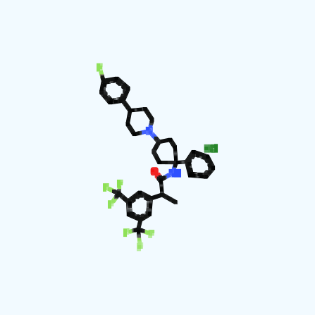 CC(C(=O)NC1(c2ccccc2)CCC(N2CCC(c3ccc(F)cc3)CC2)CC1)c1cc(C(F)(F)F)cc(C(F)(F)F)c1.Cl